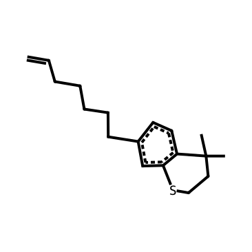 C=CCCCCCc1ccc2c(c1)SCCC2(C)C